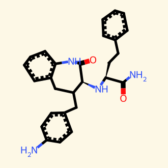 NC(=O)[C@H](CCc1ccccc1)N[C@@H]1C(=O)Nc2ccccc2CC1Cc1ccc(N)cc1